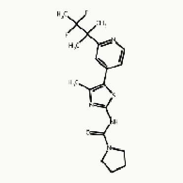 Cc1nc(NC(=O)N2CCCC2)sc1-c1ccnc(C(C)(C)C(C)(F)F)c1